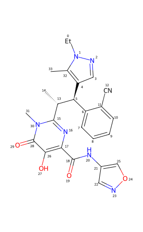 CCn1ncc([C@@H](c2ccccc2C#N)[C@@H](C)c2nc(C(=O)Nc3cnoc3)c(O)c(=O)n2C)c1C